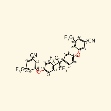 N#Cc1cc(Oc2ccc(C(c3ccc(Oc4cc(C#N)cc(C(F)(F)F)c4)cc3)(C(F)(F)F)C(F)(F)F)cc2)cc(C(F)(F)F)c1